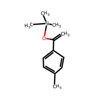 C=C(O[Si](C)(C)C)c1ccc(C)cc1